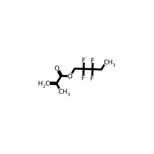 C=C(C)C(=O)OCC(F)(F)C(F)(F)CC